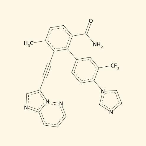 Cc1ccc(C(N)=O)c(-c2ccc(-n3ccnc3)c(C(F)(F)F)c2)c1C#Cc1cnc2cccnn12